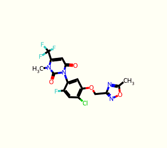 Cc1nc(COc2cc(-n3c(=O)cc(C(F)(F)F)n(C)c3=O)c(F)cc2Cl)no1